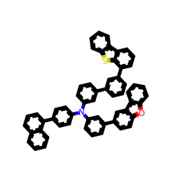 c1cc(-c2cccc(N(c3ccc(-c4cccc5ccccc45)cc3)c3cccc(-c4ccc5oc6ccccc6c5c4)c3)c2)cc(-c2cccc3c2sc2ccccc23)c1